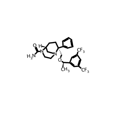 C[C@@H](OC[C@@]1(c2ccccc2)CC[C@@H]2CN1CCN2C(N)=O)c1cc(C(F)(F)F)cc(C(F)(F)F)c1